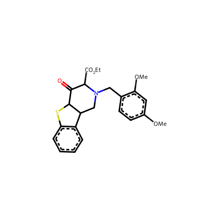 CCOC(=O)C1C(=O)C2Sc3ccccc3C2CN1Cc1ccc(OC)cc1OC